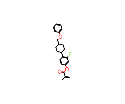 C=C(C)C(=O)Oc1ccc(C2CCC(COc3ccccc3)CC2)c(F)c1